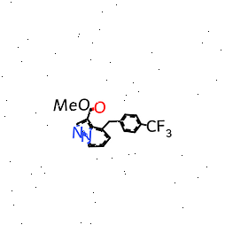 COC(=O)c1cnn2cccc(Cc3ccc(C(F)(F)F)cc3)c12